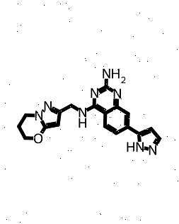 Nc1nc(NCc2cc3n(n2)CCCO3)c2ccc(-c3ccn[nH]3)cc2n1